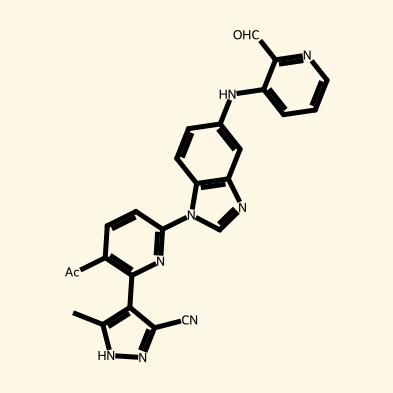 CC(=O)c1ccc(-n2cnc3cc(Nc4cccnc4C=O)ccc32)nc1-c1c(C#N)n[nH]c1C